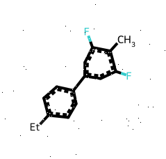 CCc1ccc(-c2cc(F)c(C)c(F)c2)cc1